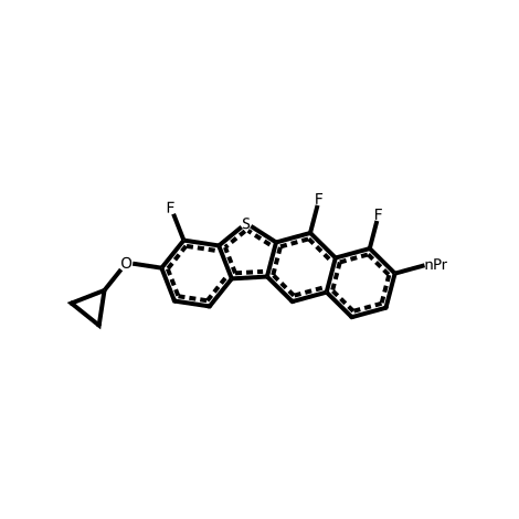 CCCc1ccc2cc3c(sc4c(F)c(OC5CC5)ccc43)c(F)c2c1F